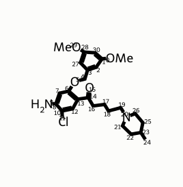 COc1cc(COc2cc(N)c(Cl)cc2C(=O)CCCCN2CCC(C)CC2)cc(OC)c1